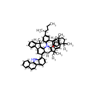 CCC[C@H](C)c1ccc(N2C3=C(Bc4c(-c5cccc6c5[nH]c5c7ccccc7ccc65)cc5c(c42)C(C)(C)c2ccccc2-5)C(C)(C)c2cc4c(cc23)C(C)(C)CCC4(C)C)c(-c2ccccc2)c1